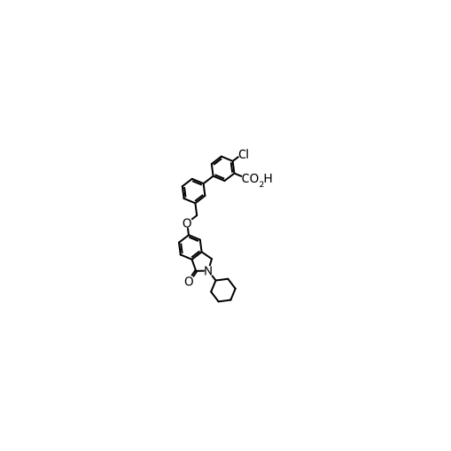 O=C(O)c1cc(-c2cccc(COc3ccc4c(c3)CN(C3CCCCC3)C4=O)c2)ccc1Cl